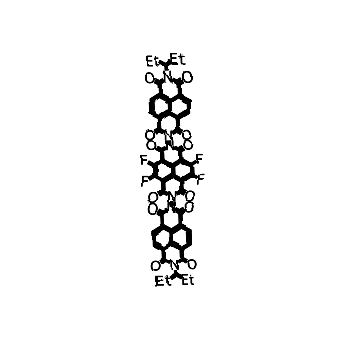 CCC(CC)N1C(=O)c2ccc3c4c(ccc(c24)C1=O)C(=O)N(N1C(=O)c2c(F)c(F)c4c5c(c(F)c(F)c(c25)C1=O)C(=O)N(N1C(=O)c2ccc5c6c(ccc(c26)C1=O)C(=O)N(C(CC)CC)C5=O)C4=O)C3=O